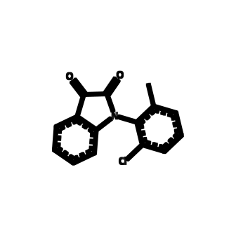 Cc1cccc(Cl)c1N1C(=O)C(=O)c2ccccc21